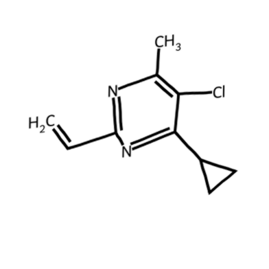 C=Cc1nc(C)c(Cl)c(C2CC2)n1